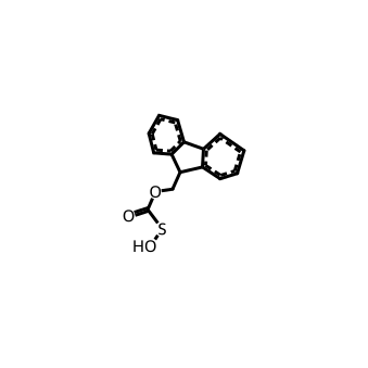 O=C(OCC1c2ccccc2-c2ccccc21)SO